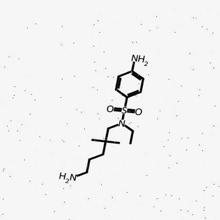 CCN(CC(C)(C)CCCN)S(=O)(=O)c1ccc(N)cc1